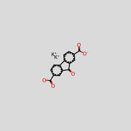 O=C([O-])c1ccc2c(c1)C(=O)c1cc(C(=O)[O-])ccc1-2.[K+].[K+]